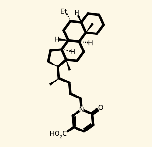 CC[C@H]1C[C@@H]2[C@H](CC[C@]3(C)[C@@H]([C@H](C)CCCn4cc(C(=O)O)ccc4=O)CC[C@@H]23)[C@@]2(C)CCCC[C@@H]12